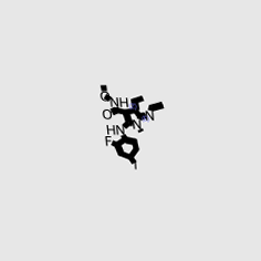 C=C/N=C1\C(=C/C)C(C(=O)NOC)=C(NC2=CCC(I)C=C2F)N1C